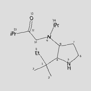 CCC(C)(C)C1NCCC1N(CC(=O)C(C)C)C(C)C